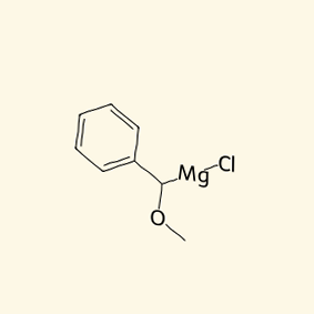 CO[CH]([Mg][Cl])c1ccccc1